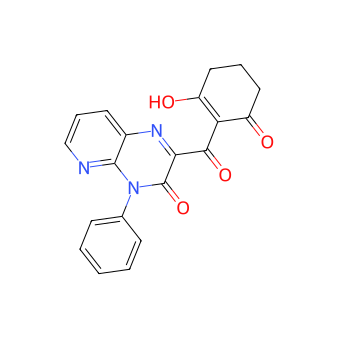 O=C1CCCC(O)=C1C(=O)c1nc2cccnc2n(-c2ccccc2)c1=O